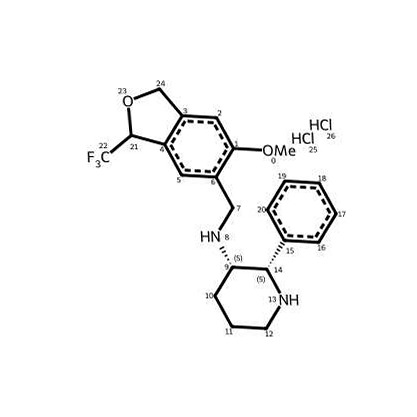 COc1cc2c(cc1CN[C@H]1CCCN[C@H]1c1ccccc1)C(C(F)(F)F)OC2.Cl.Cl